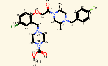 C[C@@H]1CN(Cc2ccc(F)cc2)[C@@H](C)CN1C(=O)COc1ccc(Cl)cc1CN1CCN(C(=O)OC(C)(C)C)CC1